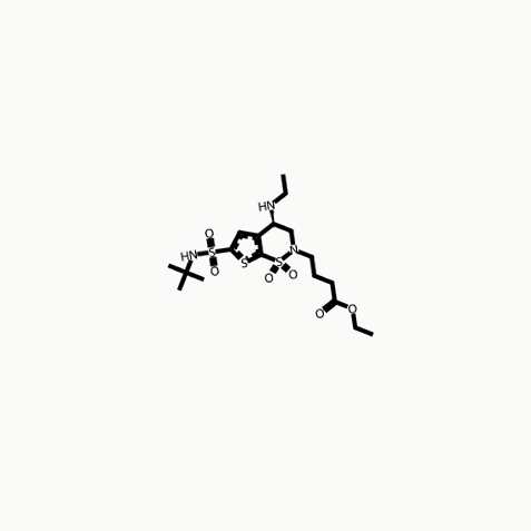 CCN[C@H]1CN(CCCC(=O)OCC)S(=O)(=O)c2sc(S(=O)(=O)NC(C)(C)C)cc21